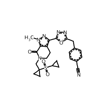 Cn1nc(-c2nnc(Cc3ccc(C#N)cc3)o2)c2c1C(=O)N(CC1(S(=O)(=O)C3CC3)CC1)CC2